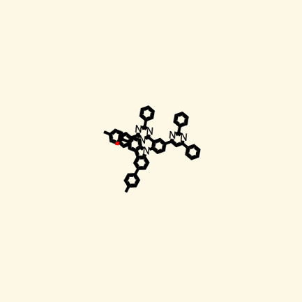 Cc1ccc(-c2ccc3c(c2)c2cc(-c4ccc(C)cc4)ccc2n3-c2ccc(-c3cc(-c4ccccc4)nc(-c4ccccc4)n3)cc2-c2nc(-c3ccccc3)nc(-c3ccccc3)n2)cc1